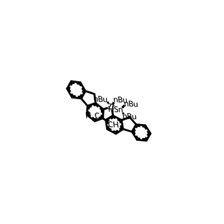 CCC[CH2][SnH]([CH2]CCC)[Zr]([CH2]CCC)([CH2]CCC)([c]1c(C)ccc2c1Cc1ccccc1-2)[c]1c(C)ccc2c1Cc1ccccc1-2